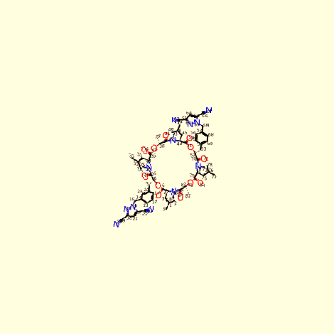 CC(C)C[C@H]1C(=O)O[C@H](Cc2cccc(Cn3nc(C#N)cc3C#N)c2)C(=O)N(C)[C@@H](CC(C)C)C(=O)O[C@H](C)C(=O)N(C)[C@@H](CC(C)C)C(=O)O[C@H](Cc2ccc(Cn3nc(C#N)cc3C#N)cc2)C(=O)N(C)[C@@H](CC(C)C)C(=O)O[C@H](C)C(=O)N1C